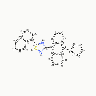 c1ccc(-c2c3ccccc3c(-c3nsc(-c4cccc5ccccc45)n3)c3ccccc23)cc1